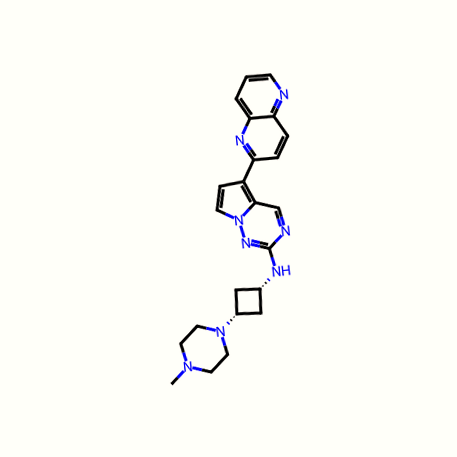 CN1CCN([C@H]2C[C@@H](Nc3ncc4c(-c5ccc6ncccc6n5)ccn4n3)C2)CC1